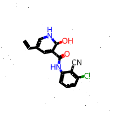 C=CC1=CNC(O)C(C(=O)Nc2cccc(Cl)c2C#N)=C1